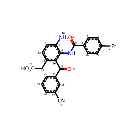 CC(C)c1ccc(C(=O)Nc2c(N)ccc(CC(=O)O)c2C(=O)c2cccc(C#N)c2)cc1